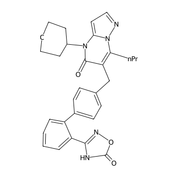 CCCc1c(Cc2ccc(-c3ccccc3-c3noc(=O)[nH]3)cc2)c(=O)n(C2CCCCC2)c2ccnn12